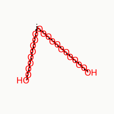 [CH2]C(CCOCCOCCOCCOCCOCCOCCOCCOCCO)OCCOCCOCCOCCOCCOCCOCCOCCOCCOCCOCCO